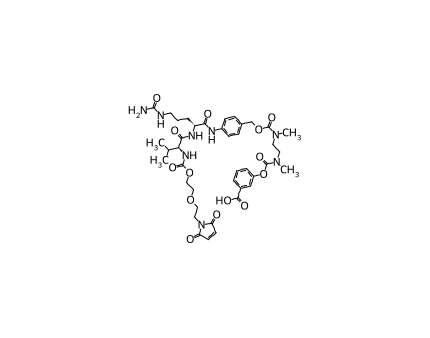 CC(C)[C@H](NC(=O)OCCOCCN1C(=O)C=CC1=O)C(=O)N[C@@H](CCCNC(N)=O)C(=O)Nc1ccc(COC(=O)N(C)CCN(C)C(=O)Oc2cccc(C(=O)O)c2)cc1